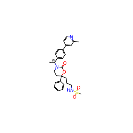 Cc1cc(-c2ccc([C@H](C)N3CCC(CCCNS(C)(=O)=O)(c4ccccc4)OC3=O)cc2)ccn1